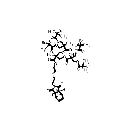 CC(C)(Br)C(=O)OCC(C)(COC(=O)C(C)(C)Br)C(=O)OCC(C)(COC(=O)C(C)(COC(=O)C(C)(C)Br)COC(=O)C(C)(C)Br)C(=O)OCCOCCN1C(=O)[C@@H]2C3C=CC(O3)[C@@H]2C1=O